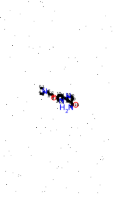 CCN(CC)CCCOc1ccc(-c2cc(C(N)=O)ccn2)nc1